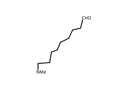 CNCCCCCCCCC=O